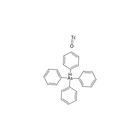 [O]=[Tc].c1ccc([AsH](c2ccccc2)(c2ccccc2)c2ccccc2)cc1